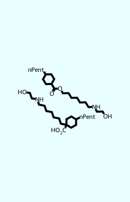 CCCCCC1CCC(C(=O)OCCCCCCCNCCO)CC1.CCCCCC1CCC(CCCCCCCNCCO)(C(=O)O)CC1